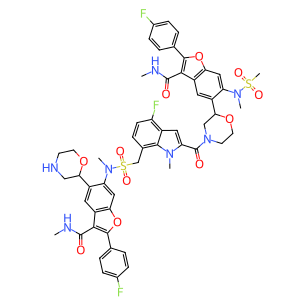 CNC(=O)c1c(-c2ccc(F)cc2)oc2cc(N(C)S(C)(=O)=O)c(C3CN(C(=O)c4cc5c(F)ccc(CS(=O)(=O)N(C)c6cc7oc(-c8ccc(F)cc8)c(C(=O)NC)c7cc6C6CNCCO6)c5n4C)CCO3)cc12